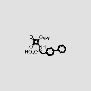 CC(C)Oc1c(N[C@@H](Cc2ccc(-c3ccccc3)cc2)C(=O)O)c(=O)c1=O